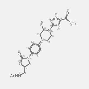 CC(=O)NCC1CN(c2ccc(N3CCN(c4nnc(C(N)=O)s4)C(F)C3)cc2)C(=O)O1